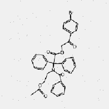 CC(=O)OCCN(C(=O)c1ccccc1)C(C(=O)OCC(=O)c1ccc(Br)cc1)(c1ccccc1)c1ccccc1